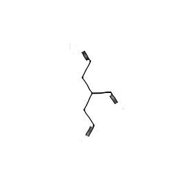 C=CCC([C]=O)C[C]=O